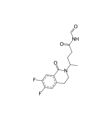 CC(CCC(=O)NC=O)N1CCc2cc(F)c(F)cc2C1=O